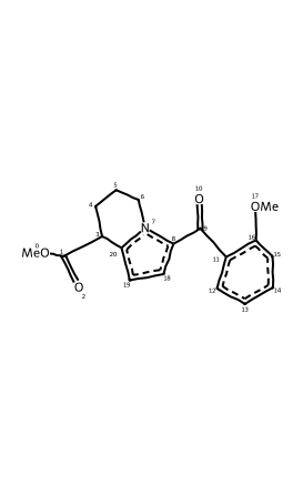 COC(=O)C1CCCn2c(C(=O)c3ccccc3OC)ccc21